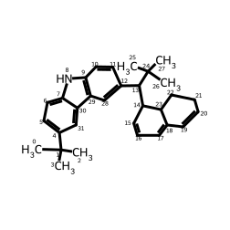 CC(C)(C)c1ccc2[nH]c3ccc(C(C4C=CC=C5C=CCCC54)C(C)(C)C)cc3c2c1